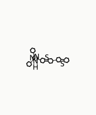 c1ccc(C2=NC(c3ccccc3)NC(c3ccc4c(c3)sc3cc(-c5ccc6c(c5)sc5ccccc56)ccc34)=N2)cc1